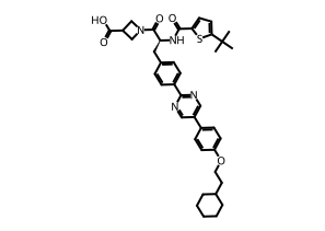 CC(C)(C)c1ccc(C(=O)N[C@@H](Cc2ccc(-c3ncc(-c4ccc(OCCC5CCCCC5)cc4)cn3)cc2)C(=O)N2CC(C(=O)O)C2)s1